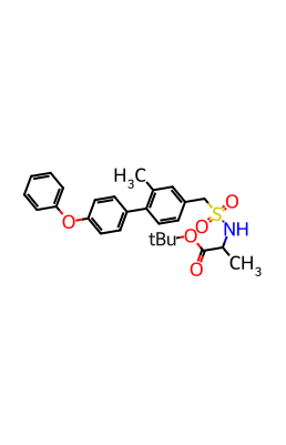 Cc1cc(CS(=O)(=O)NC(C)C(=O)OC(C)(C)C)ccc1-c1ccc(Oc2ccccc2)cc1